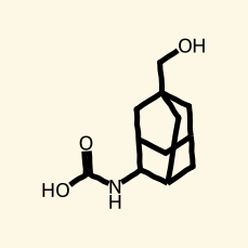 O=C(O)NC1C2CC3CC1CC(CO)(C3)C2